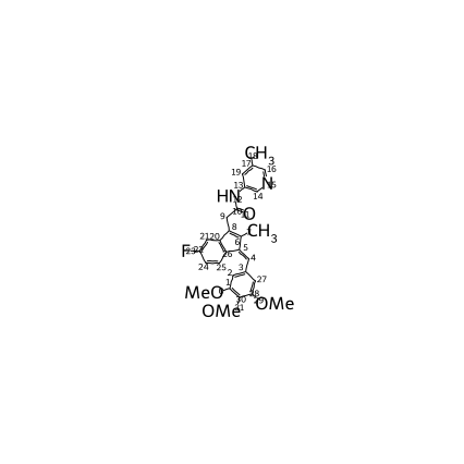 COc1cc(/C=C2/C(C)=C(CC(=O)Nc3cncc(C)c3)c3cc(F)ccc32)cc(OC)c1OC